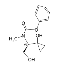 CN(C(=O)Oc1ccccc1)[C@H](CO)C1(O)CC1